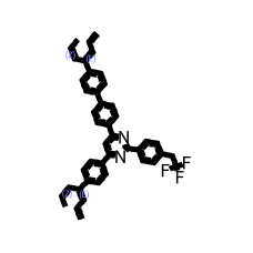 C=C/C=C(\C=C/C)c1ccc(-c2ccc(-c3cc(-c4ccc(C(/C=C\C)=C/C=C)cc4)nc(-c4ccc(CC(F)(F)F)cc4)n3)cc2)cc1